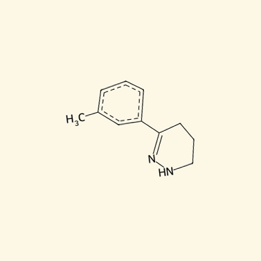 Cc1cccc(C2=NNCCC2)c1